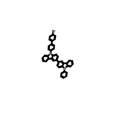 Brc1ccc(-c2ccc(-n3c4ccccc4c4cc(-c5ccc6c(c5)c5ccccc5n6-c5ccccc5)ccc43)cc2)cc1